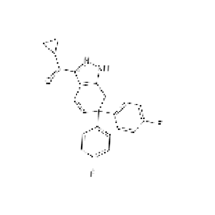 O=C(c1n[nH]c2c1C=CC(c1ccc(F)cc1)(c1ccc(F)cc1)C2)C1CC1